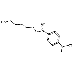 CCCCCCCCCCCCCCCCN(C(C)=O)c1ccc(C(C)O)cc1